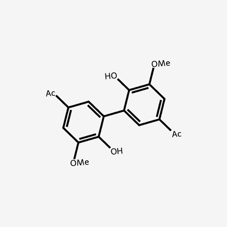 COc1cc(C(C)=O)cc(-c2cc(C(C)=O)cc(OC)c2O)c1O